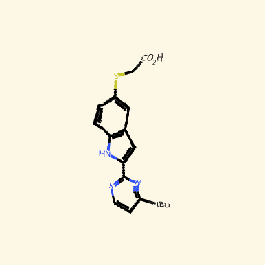 CC(C)(C)c1ccnc(-c2cc3cc(SCC(=O)O)ccc3[nH]2)n1